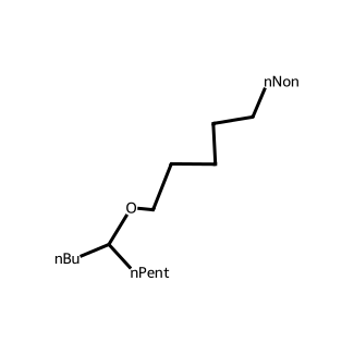 CCCCCCCCCCCCCCOC(CCCC)CCCCC